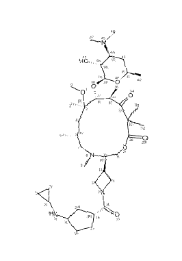 CO[C@]1(C)C[C@@H](C)CN(C)[C@H](C2CN(C(=O)[C@@H]3CCC(NC4CC4)C3)C2)COC(=O)C(C)(C)C(=O)[C@H](C)[C@H]1O[C@@H]1O[C@H](C)C[C@H](N(C)C)[C@H]1O